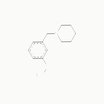 FC(F)(F)Sc1cccc(CN2CCCCC2)c1